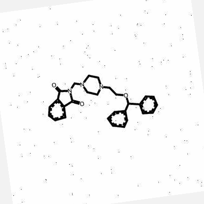 O=C1c2ccccc2C(=O)N1CN1CCN(CCOC(c2ccccc2)c2ccccc2)CC1